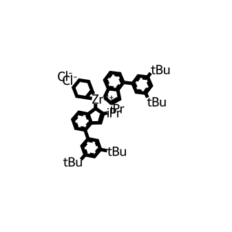 CC(C)C1=Cc2c(-c3cc(C(C)(C)C)cc(C(C)(C)C)c3)cccc2[CH]1[Zr+2]1([CH]2C(C(C)C)=Cc3c(-c4cc(C(C)(C)C)cc(C(C)(C)C)c4)cccc32)[CH]2CCCC[CH]21.[Cl-].[Cl-]